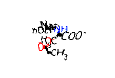 CCC(=O)[O-].CCCCCCCCNC(C)C(=O)[O-].[Na+].[Na+]